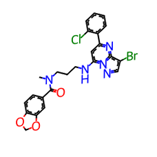 CN(CCCNc1cc(-c2ccccc2Cl)nc2c(Br)cnn12)C(=O)c1ccc2c(c1)OCO2